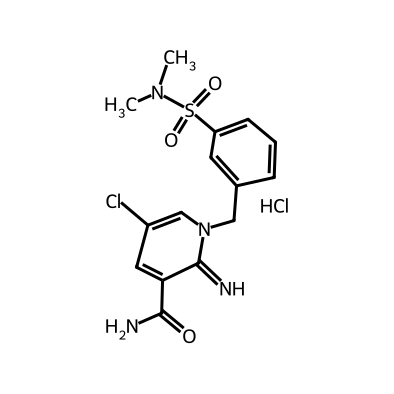 CN(C)S(=O)(=O)c1cccc(Cn2cc(Cl)cc(C(N)=O)c2=N)c1.Cl